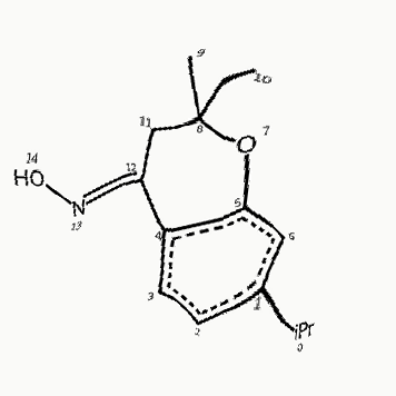 CC(C)c1ccc2c(c1)OC(C)(C)C/C2=N\O